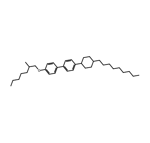 CCCCCCCCCC1CCC(c2ccc(-c3ccc(OCC(C)CCCCC)cc3)cc2)CC1